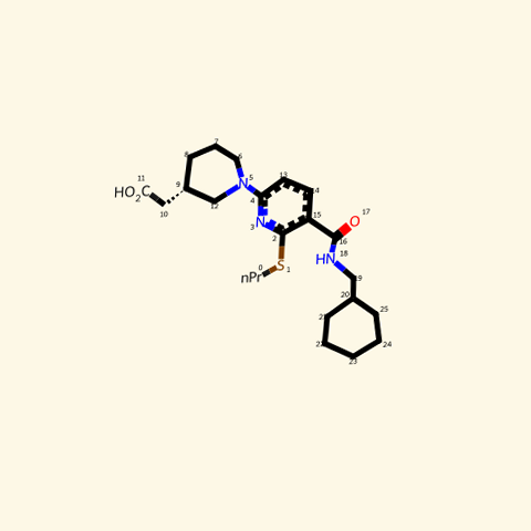 CCCSc1nc(N2CCC[C@@H](CC(=O)O)C2)ccc1C(=O)NCC1CCCCC1